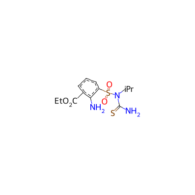 CCOC(=O)c1cccc(S(=O)(=O)N(C(N)=S)C(C)C)c1N